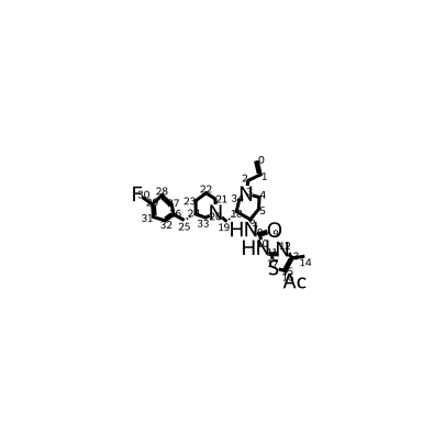 C=CCN1CC[C@@H](NC(=O)Nc2nc(C)c(C(C)=O)s2)[C@H](CN2CCC[C@@H](Cc3ccc(F)cc3)C2)C1